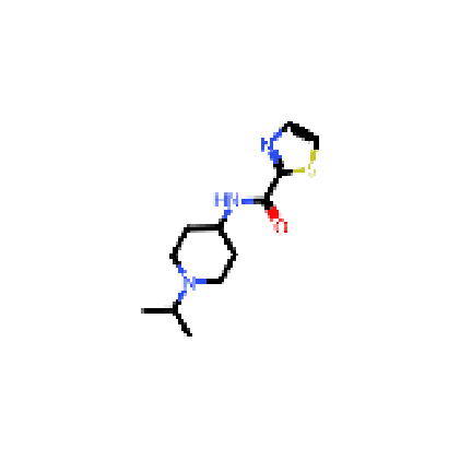 CC(C)N1CCC(NC(=O)c2nccs2)CC1